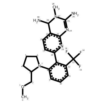 COCC1CCCN1c1cccc(C(F)(F)F)c1-c1ccc2c(n1)N=C(N)N(C)C2N